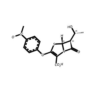 C[C@@H](O)[C@H]1C(=O)N2C(C(=O)O)=C(Oc3ccc([S+](C)[O-])cc3)S[C@H]12